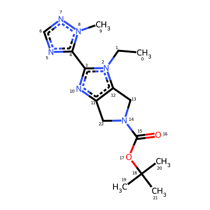 CCn1c(-c2ncnn2C)nc2c1CN(C(=O)OC(C)(C)C)C2